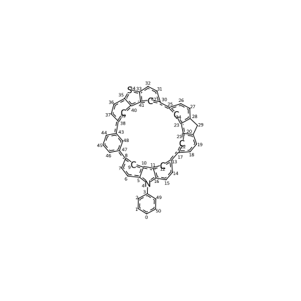 c1ccc(-n2c3ccc4cc3c3cc(ccc32)c2ccc3c(c2)c2cc(ccc2C3)c2ccc3sc5ccc(cc5c3c2)c2cccc4c2)cc1